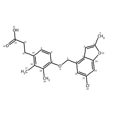 Cc1cc2c(COc3ccc(CCC(=O)O)c(C)c3C)cc(Cl)cc2o1